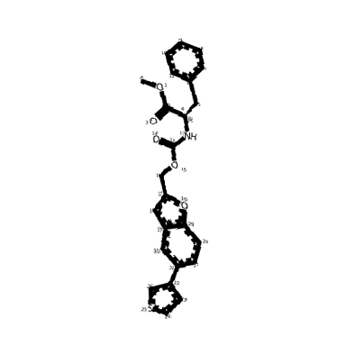 COC(=O)[C@@H](Cc1ccccc1)NC(=O)OCc1cc2cc(-c3ccsc3)ccc2o1